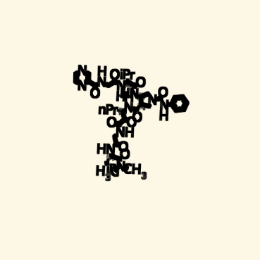 CCC[C@H](NC(=O)[C@@H]1CN(C(=O)Nc2ccccc2)C[C@@H]1NC(=O)[C@@H](NC(=O)CNC(=O)c1cnccn1)C(C)C)C(=O)C(=O)NCC(=O)N[C@@H](CC(C)C)C(=O)N(C)C